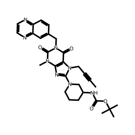 CC#CCn1c(N2CCCC(NC(=O)OC(C)(C)C)C2)nc2c1c(=O)n(Cc1ccc3nccnc3c1)c(=O)n2C